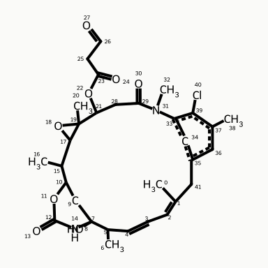 C/C1=C\C=C\C(C)C2(O)CC(OC(=O)N2)C(C)C2OC2(C)C(OC(=O)CC=O)CC(=O)N(C)c2cc(cc(C)c2Cl)C1